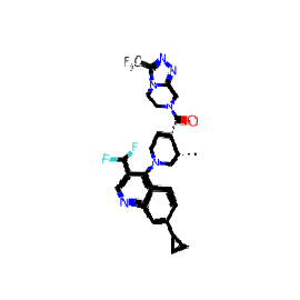 C[C@@H]1CN(c2c(C(F)F)cnc3cc(C4CC4)ccc23)CC[C@@H]1C(=O)N1CCn2c(nnc2C(F)(F)F)C1